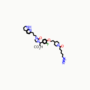 [N-]=[N+]=NCCCCCC(=O)N1CCC(CCOc2ccc(C(CC(=O)O)N3CCN(CCCc4ccc5c(n4)NCCC5)C3=O)cc2F)CC1